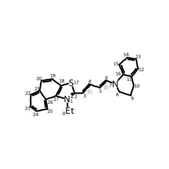 CC[n+]1c(/C=C/C=C/N2CCCc3ccccc32)sc2ccc3ccccc3c21